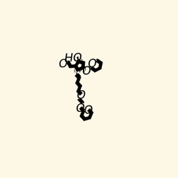 O=CCC1[C@@H](C=CCCCOCCOC2CCCCO2)[C@H](OC2CCCCO2)C[C@@H]1O